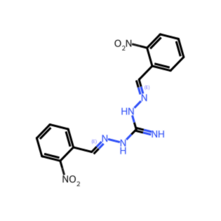 N=C(N/N=C/c1ccccc1[N+](=O)[O-])N/N=C/c1ccccc1[N+](=O)[O-]